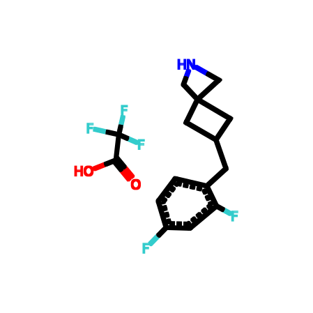 Fc1ccc(CC2CC3(CNC3)C2)c(F)c1.O=C(O)C(F)(F)F